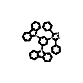 c1ccc(-c2nnc(-c3ccccc3)n2-c2cc(-n3c4ccccc4c4ccccc43)cc(-n3c4ccccc4c4ccccc43)c2)cc1